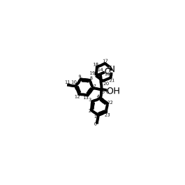 Cc1ccc(C(O)(c2ccc(C)cc2)C2CN3CCC2CC3)cc1